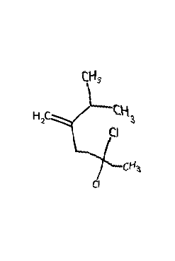 C=C(CC(C)(Cl)Cl)C(C)C